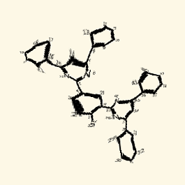 Brc1[c]cc(-c2nc(-c3ccccc3)cc(-c3ccccc3)n2)cc1-c1nc(-c2ccccc2)cc(-c2ccccc2)n1